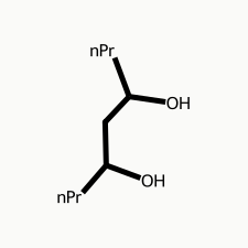 [CH]CCC(O)CC(O)CCC